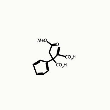 C=C(C(=O)O)C(CC(=O)OC)(C(=O)O)c1ccccc1